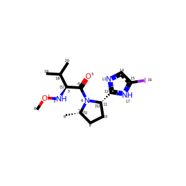 CON[C@H](C(=O)N1[C@@H](C)CC[C@H]1c1ncc(I)[nH]1)C(C)C